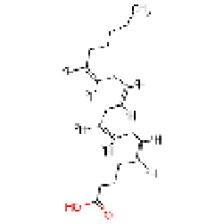 [2H]C(CCCCC)=C([2H])CC([2H])=C([2H])CC([2H])=C([2H])CC([2H])=C([2H])CCCC(=O)O